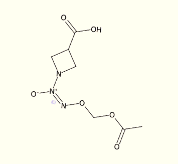 CC(=O)OCO/N=[N+](/[O-])N1CC(C(=O)O)C1